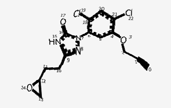 C#CCOc1cc(-n2nc(CCC3CO3)[nH]c2=O)c(Cl)cc1Cl